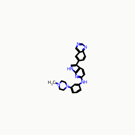 CN1CCN(c2cccc(Nc3ccc4c(-c5ccc6ncncc6c5)c[nH]c4n3)c2)CC1